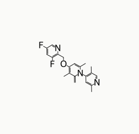 C=C1C(C)=C(OCc2ncc(F)cc2F)C=C(C)N1c1cc(C)ncc1C